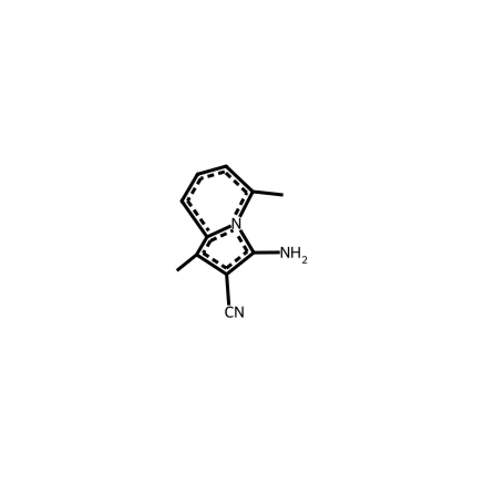 Cc1c(C#N)c(N)n2c(C)cccc12